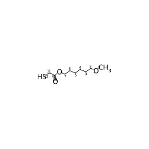 COCCCCCCOC(=O)CS